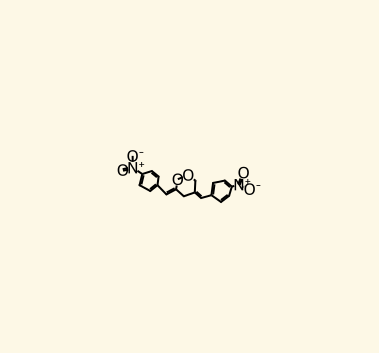 O=[N+]([O-])c1ccc(C=C2COOC(=Cc3ccc([N+](=O)[O-])cc3)C2)cc1